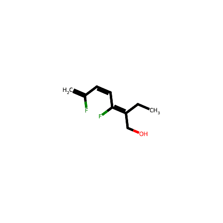 C=C(F)/C=C\C(F)=C(/CC)CO